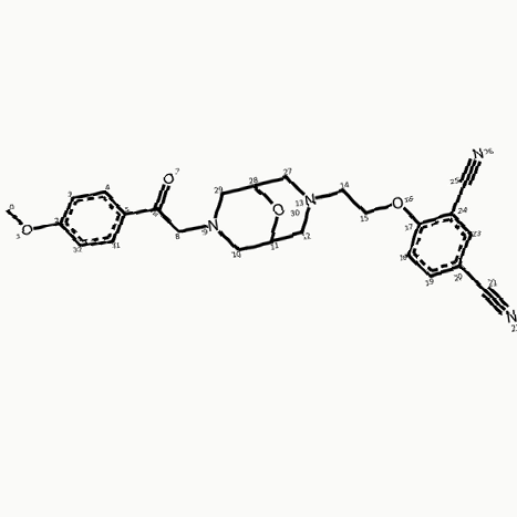 COc1ccc(C(=O)CN2CC3CN(CCOc4ccc(C#N)cc4C#N)CC(C2)O3)cc1